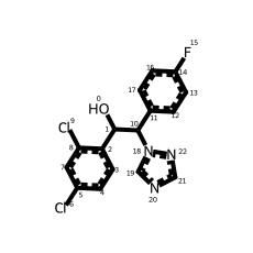 OC(c1ccc(Cl)cc1Cl)C(c1ccc(F)cc1)n1cncn1